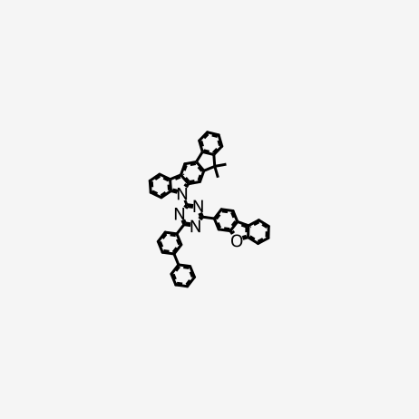 CC1(C)c2ccccc2-c2cc3c4ccccc4n(-c4nc(-c5cccc(-c6ccccc6)c5)nc(-c5ccc6c(c5)oc5ccccc56)n4)c3cc21